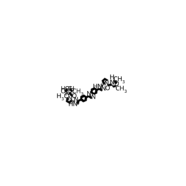 CCC[C@H](NC(C)=O)C(=O)N1CCC[C@H]1c1ncc(-c2ccc3nc(-c4ccc(-c5c[nH]c([C@@H]6CCCN6C(=O)[C@H](C(C)C)N(C)C(=O)O)n5)cc4)cnc3c2)[nH]1